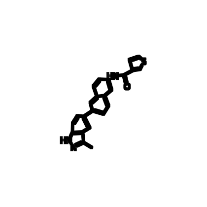 Cc1n[nH]c2ccc(-c3ccc4cc(NC(=O)c5ccsc5)ccc4c3)cc12